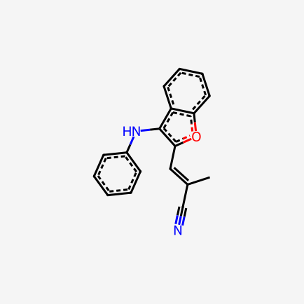 C/C(C#N)=C\c1oc2ccccc2c1Nc1ccccc1